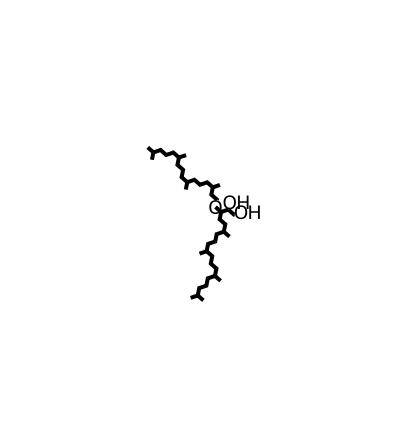 CC(C)CCCC(C)CCCC(C)CCCC(C)CCOC(CCC(C)CCCC(C)CCCC(C)CCCC(C)C)C(O)CO